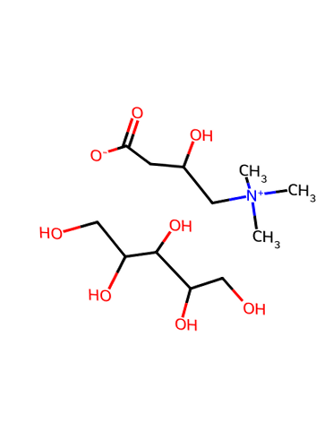 C[N+](C)(C)CC(O)CC(=O)[O-].OCC(O)C(O)C(O)CO